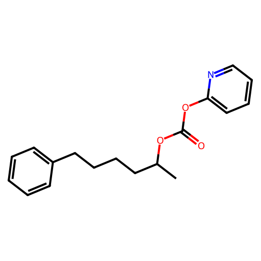 CC(CCCCc1ccccc1)OC(=O)Oc1ccccn1